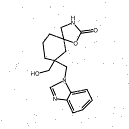 O=C1NCC2(CCCC(CO)(Cn3cnc4ccccc43)C2)O1